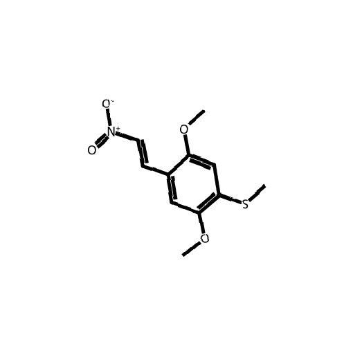 COc1cc(SC)c(OC)cc1C=C[N+](=O)[O-]